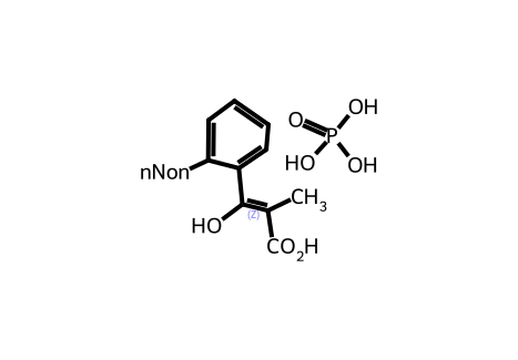 CCCCCCCCCc1ccccc1/C(O)=C(\C)C(=O)O.O=P(O)(O)O